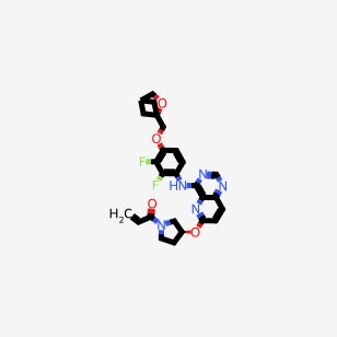 C=CC(=O)N1CC[C@H](Oc2ccc3ncnc(Nc4ccc(OCC56CC(CO5)C6)c(F)c4F)c3n2)C1